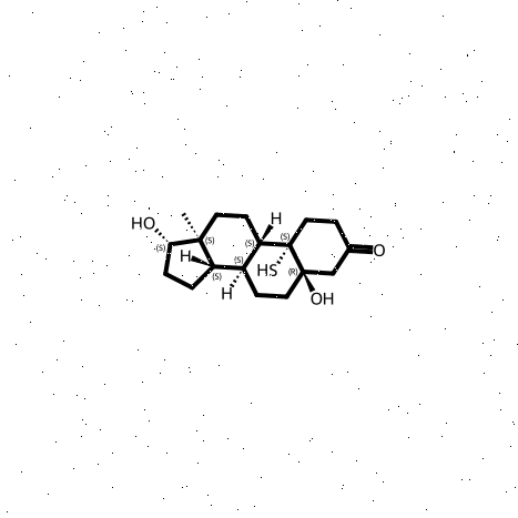 C[C@]12CC[C@H]3[C@@H](CC[C@@]4(O)CC(=O)CC[C@]34S)[C@@H]1CC[C@@H]2O